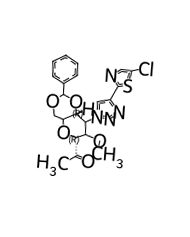 COC1C(n2cc(-c3ncc(Cl)s3)nn2)[C@H]2OC(c3ccccc3)OCC2O[C@H]1C(C)=O